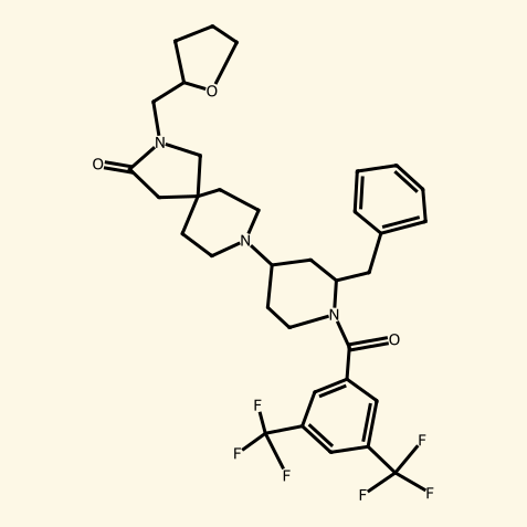 O=C1CC2(CCN(C3CCN(C(=O)c4cc(C(F)(F)F)cc(C(F)(F)F)c4)C(Cc4ccccc4)C3)CC2)CN1CC1CCCO1